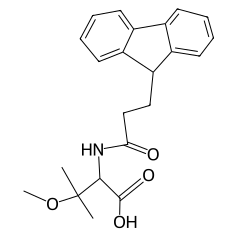 COC(C)(C)C(NC(=O)CCC1c2ccccc2-c2ccccc21)C(=O)O